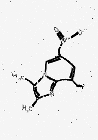 Cc1nc2c(F)cc([N+](=O)[O-])cn2c1C